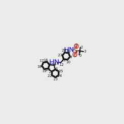 CC(C)(C)S(=O)(=O)Nc1ccc(CNC2c3ccccc3-c3ccccc32)cc1